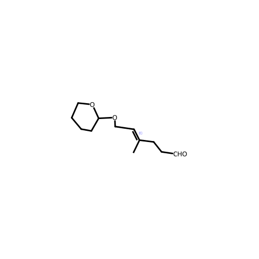 C/C(=C\COC1CCCCO1)CCC=O